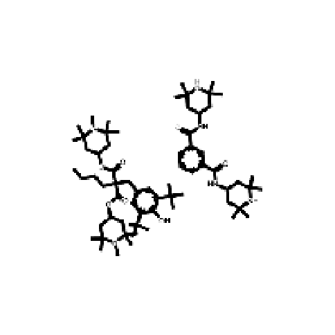 CC1(C)CC(NC(=O)c2cccc(C(=O)NC3CC(C)(C)NC(C)(C)C3)c2)CC(C)(C)N1.CCCCC(Cc1cc(C(C)(C)C)c(O)c(C(C)(C)C)c1)(C(=O)OC1CC(C)(C)N(C)C(C)(C)C1)C(=O)OC1CC(C)(C)N(C)C(C)(C)C1